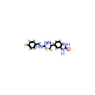 O=c1[nH]c2ccc(C3=NN=C(NCc4ccc(F)cc4)SC3)cc2[nH]1